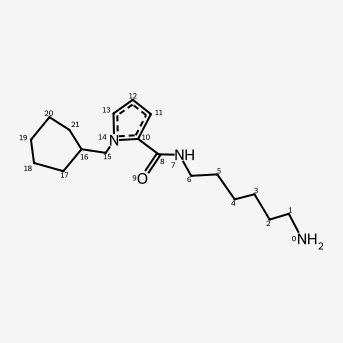 NCCCCCCNC(=O)c1cccn1CC1CCCCC1